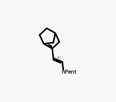 CCCCC/C=C/C1=C2CCC(C1)C2